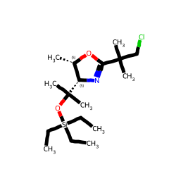 CC[Si](CC)(CC)OC(C)(C)[C@H]1N=C(C(C)(C)CCl)O[C@H]1C